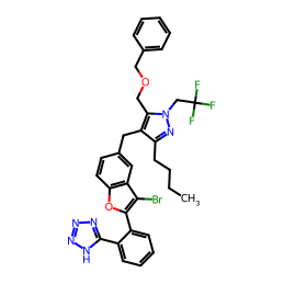 CCCCc1nn(CC(F)(F)F)c(COCc2ccccc2)c1Cc1ccc2oc(-c3ccccc3-c3nnn[nH]3)c(Br)c2c1